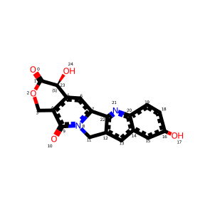 O=C1OCc2c(cc3n(c2=O)Cc2cc4cc(O)ccc4nc2-3)[C@@H]1O